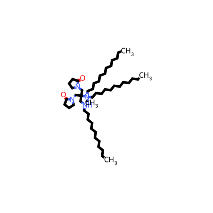 CCCCCCCCCCCCNCC(CN1CCCC1=O)(CN1CCCC1=O)[N+](C)(CCCCCCCCCCCC)CCCCCCCCCCCC